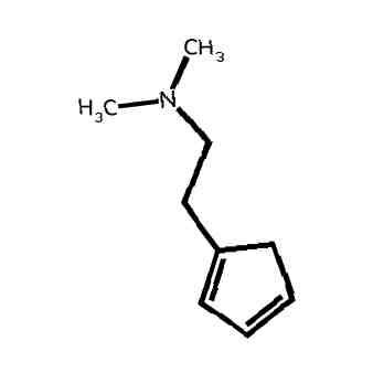 CN(C)CCC1=CC=CC1